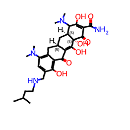 CC(C)CCNCc1cc(N(C)C)c2c(c1O)C(=O)C1=C(O)[C@]3(O)C(=O)C(C(N)=O)=C(O)C(N(C)C)[C@@H]3C[C@@H]1C2